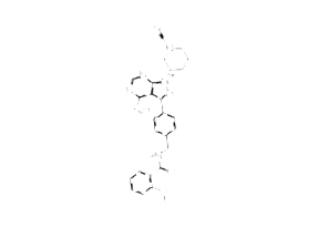 COc1ccccc1C(=O)NCc1ccc(-c2nn([C@@H]3CCCN(C#N)C3)c3ncnc(N)c23)cc1